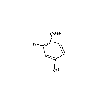 COc1ccc(C#N)cc1[C](C)C